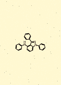 c1ccc(Nc2cccc3c2c(-c2ccccc2)nn3-c2ccccc2)cc1